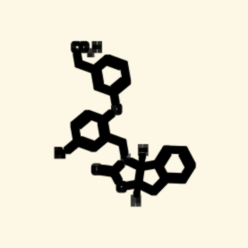 O=C(O)Cc1cccc(Oc2ccc(Br)cc2CN2C(=O)O[C@H]3Cc4ccccc4[C@H]32)c1